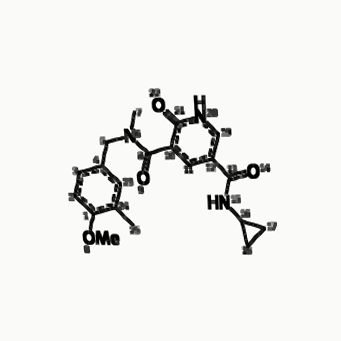 COc1ccc(CN(C)C(=O)c2cc(C(=O)NC3CC3)c[nH]c2=O)cc1C